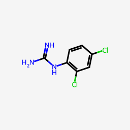 N=C(N)Nc1ccc(Cl)cc1Cl